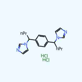 CCCC(c1ccc(C(CCC)n2ccnc2)cc1)n1ccnc1.Cl.Cl